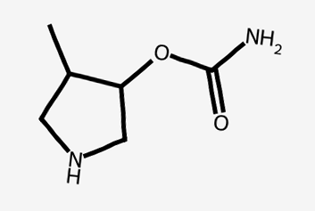 CC1CNCC1OC(N)=O